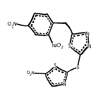 O=[N+]([O-])c1ccc(Cc2nnc(Sc3ncc([N+](=O)[O-])s3)s2)c([N+](=O)[O-])c1